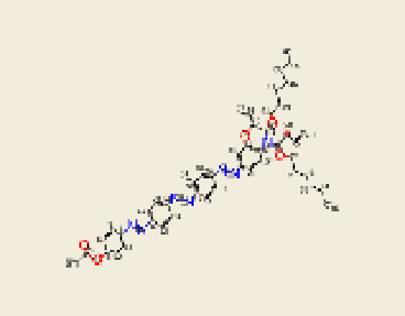 C=CC(=O)Oc1ccc(N=Nc2ccc(N=Nc3ccc(N=Nc4ccc(N(C(OCCCCCCC)C(=O)C=C)C(OCCCCCCC)C(=O)C=C)cc4)cc3C)cc2)cc1